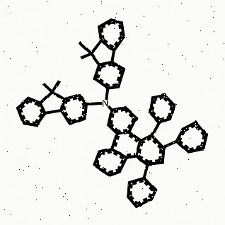 CC1(C)c2ccccc2-c2ccc(N(c3ccc4c(c3)C(C)(C)c3ccccc3-4)c3ccc4c(c3)c3ccccc3c3c(-c5ccccc5)cc(-c5ccccc5)c(-c5ccccc5)c43)cc21